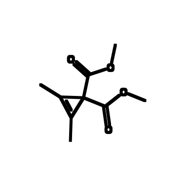 COC(=O)C1(C(=O)OC)C(C)=C1C